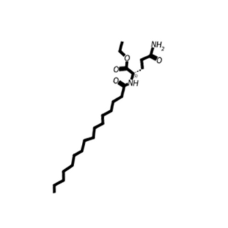 CCCCCCCCCCCCCCCC(=O)N[C@@H](CCC(N)=O)C(=O)OCC